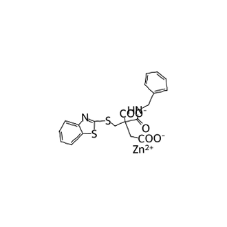 O=C([O-])CC(CSc1nc2ccccc2s1)(C(=O)[O-])C(=O)NCc1ccccc1.[Zn+2]